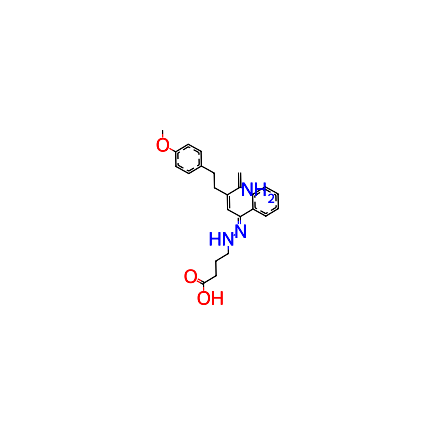 C=C(N)/C(=C\C(=N/NCCCC(=O)O)c1ccccc1)CCc1ccc(OC)cc1